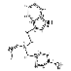 C/N=C\N(CCc1c[nH]c2ccccc12)Cc1ccc(O)cc1